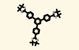 CC1(C)N=C(c2ccc(-c3cc(-c4ccc(C5=NC(C)(C)C(C)(C)S5)cc4)cc(-c4ccc(C5=NC(C)(C)C(C)(C)S5)cc4)c3)cc2)SC1(C)C